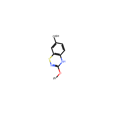 COc1ccc2c(c1)SN=C(OC(C)C)N2